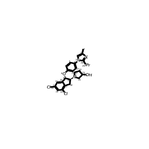 Cc1cn(-c2ccc(O[C@H]3c4cc(Cl)cc(Cl)c4C[C@@H]3N3CCC(O)C3)cc2)c(C(C)C)n1